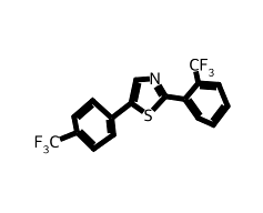 FC(F)(F)c1ccc(-c2cnc(-c3ccccc3C(F)(F)F)s2)cc1